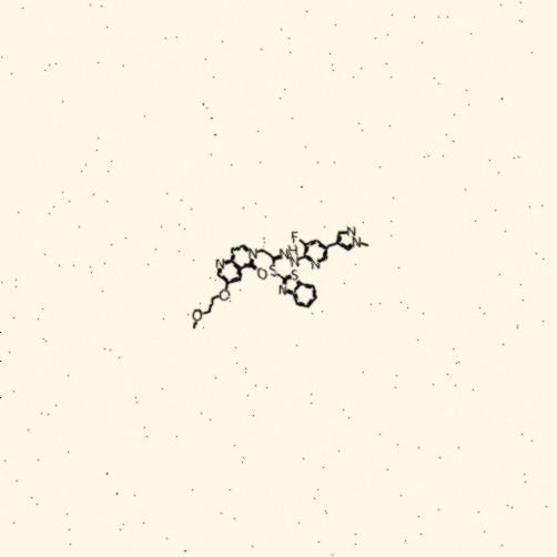 COCCOc1cnc2ccn([C@H](C)/C(=N/Nc3ncc(-c4cnn(C)c4)cc3F)Sc3nc4ccccc4s3)c(=O)c2c1